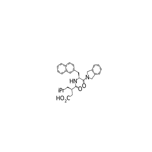 CC(C)C[C@H](CC(=O)O)C(=O)N[C@@H](Cc1ccc2ccccc2c1)C(=O)N1Cc2ccccc2C1